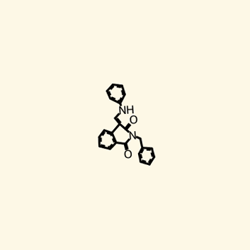 O=C1C(=CNc2ccccc2)c2ccccc2C(=O)N1Cc1ccccc1